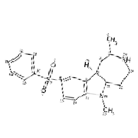 CC1C[C@@H]2c3cc(S(=O)(=O)c4ccccc4)ccc3N(C)C2CCN1